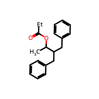 CCC(=O)OC(C)C(Cc1ccccc1)Cc1ccccc1